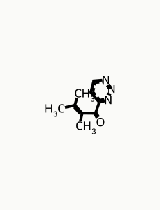 CC(C)=C(C)C(=O)c1ccnnn1